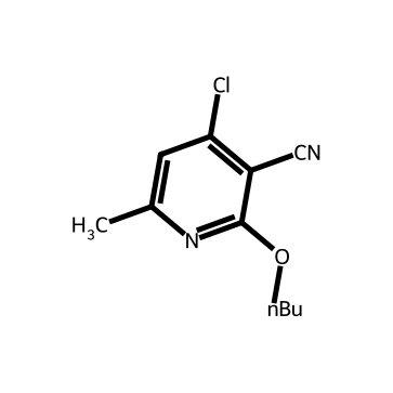 CCCCOc1nc(C)cc(Cl)c1C#N